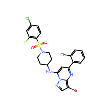 O=S(=O)(c1ccc(Cl)cc1F)N1CCC(Nc2cc(-c3ccccc3Cl)nc3c(Br)cnn23)CC1